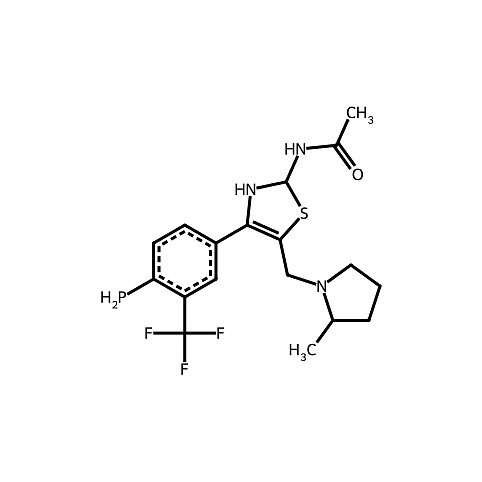 CC(=O)NC1NC(c2ccc(P)c(C(F)(F)F)c2)=C(CN2CCCC2C)S1